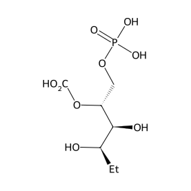 CC[C@@H](O)[C@H](O)[C@@H](COP(=O)(O)O)OC(=O)O